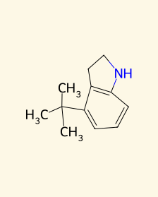 CC(C)(C)c1cccc2c1CCN2